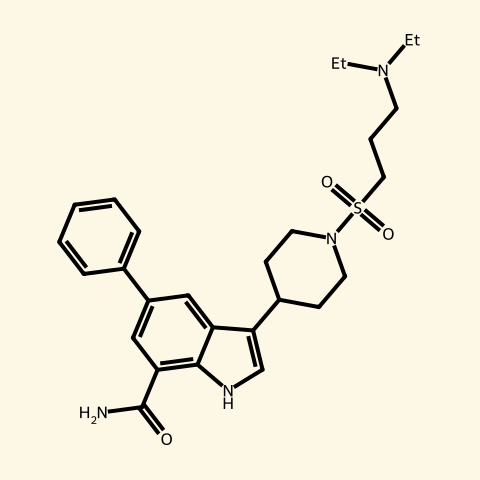 CCN(CC)CCCS(=O)(=O)N1CCC(c2c[nH]c3c(C(N)=O)cc(-c4ccccc4)cc23)CC1